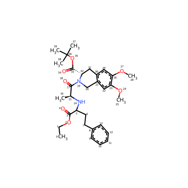 CCOC(=O)C(CCc1ccccc1)N[C@@H](C)C(=O)N1Cc2cc(OC)c(OC)cc2C[C@H]1C(=O)OC(C)(C)C